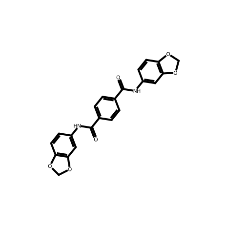 O=C(Nc1ccc2c(c1)OCO2)c1ccc(C(=O)Nc2ccc3c(c2)OCO3)cc1